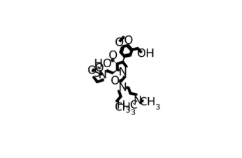 CCCCN(CCCN(C)C)C(=O)CN1C[C@H](c2cc(CO)c3c(c2)OCO3)[C@@H](C(=O)O)[C@@H]1CCN1CCCS1(=O)=O